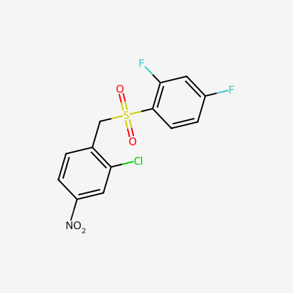 O=[N+]([O-])c1ccc(CS(=O)(=O)c2ccc(F)cc2F)c(Cl)c1